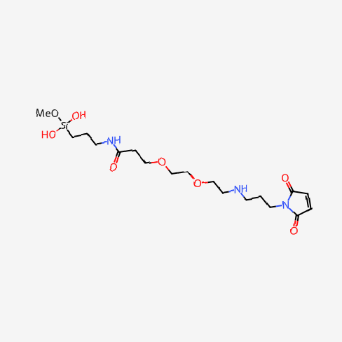 CO[Si](O)(O)CCCNC(=O)CCOCCOCCNCCCN1C(=O)C=CC1=O